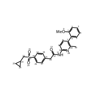 COc1ccccc1-c1ccc(NC(=O)Cc2ccc(S(=O)(=O)CC3CC3)cc2)nc1C